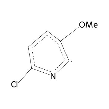 COc1[c]nc(Cl)cc1